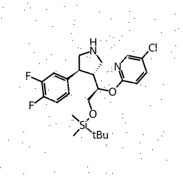 CC(C)(C)[Si](C)(C)OC[C@H](Oc1ccc(Cl)cn1)[C@H]1CNC[C@@H]1c1ccc(F)c(F)c1